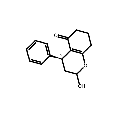 O=C1CCCC2=C1[C@H](c1ccccc1)CC(O)O2